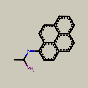 CC(P)Nc1ccc2ccc3cccc4ccc1c2c34